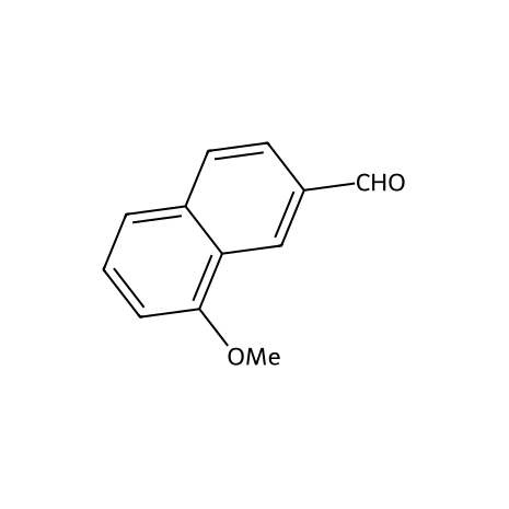 COc1cccc2ccc(C=O)cc12